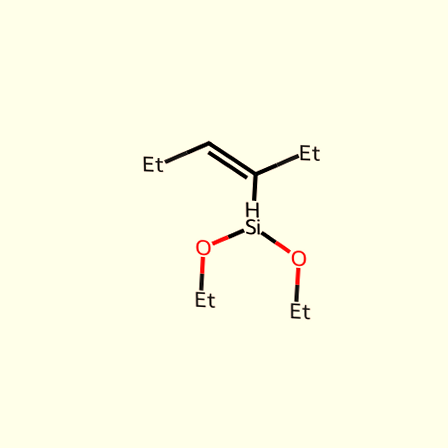 CCC=C(CC)[SiH](OCC)OCC